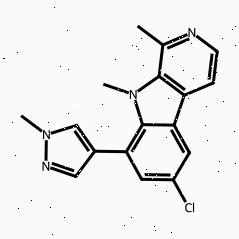 Cc1nccc2c3cc(Cl)cc(-c4cnn(C)c4)c3n(C)c12